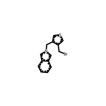 BrCc1cscc1Cn1cc2ccccc2c1